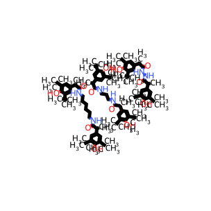 CC(C(=O)NCCCCCCNC(=O)C(C)c1cc(C(C)(C)C)c(O)c(C(C)(C)C)c1)c1cc(C(C)(C)C)c(O)c(C(C)(C)C)c1.CC(C(=O)NCCCNC(=O)C(C)c1cc(C(C)(C)C)c(O)c(C(C)(C)C)c1)c1cc(C(C)(C)C)c(O)c(C(C)(C)C)c1.CC(C(=O)NNC(=O)C(C)c1cc(C(C)(C)C)c(O)c(C(C)(C)C)c1)c1cc(C(C)(C)C)c(O)c(C(C)(C)C)c1